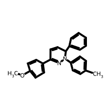 COc1ccc(C2=NN(c3ccc(C)cc3)C(c3ccccc3)C=C2)cc1